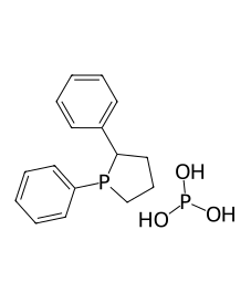 OP(O)O.c1ccc(C2CCCP2c2ccccc2)cc1